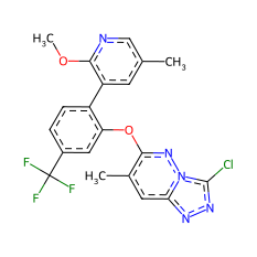 COc1ncc(C)cc1-c1ccc(C(F)(F)F)cc1Oc1nn2c(Cl)nnc2cc1C